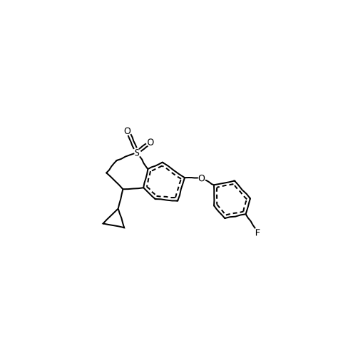 O=S1(=O)CCC(C2CC2)c2ccc(Oc3ccc(F)cc3)cc21